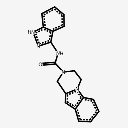 O=C(Nc1n[nH]c2ccccc12)N1CCn2c(cc3ccccc32)C1